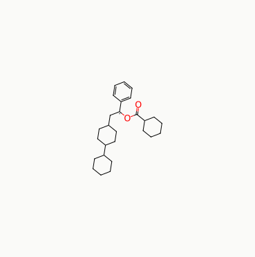 O=C(O[C](CC1CCC(C2CCCCC2)CC1)c1ccccc1)C1CCCCC1